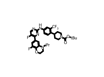 CC(C)N1CCOc2c(F)cc(-c3nc(Nc4ccc(C5CCN(C(=O)OC(C)(C)C)CC5)c(C(F)(F)F)c4)ncc3F)cc21